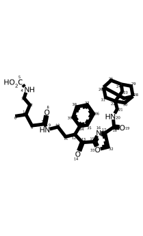 CC(CCNC(=O)O)CC(=O)NCCC(C(=O)c1nc(C(=O)NCC23CC4CC(CC(C4)C2)C3)co1)c1ccccc1